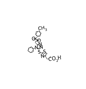 Cc1ccc(S(=O)(=O)Cc2nnc(Sc3nc(CC(=O)O)cs3)n2-c2ccccc2)cc1